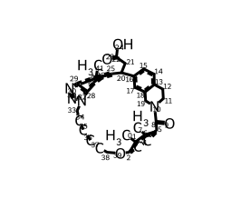 Cc1c2ccc(c1C)C(=O)N1CCc3ccc(cc3C1)C(CC(=O)O)c1ccc3c(nnn3CCCCCCO2)c1C